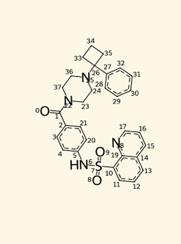 O=C(c1ccc(NS(=O)(=O)c2cccc3cccnc23)cc1)N1CCN(C2(c3ccccc3)CCC2)CC1